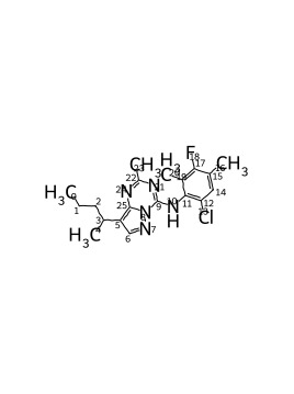 CCCC(C)c1cnn2c(Nc3c(Cl)cc(C)c(F)c3C)nc(C)nc12